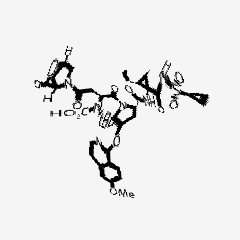 C=C[C@@H]1C[C@]1(NC(=O)[C@@H]1CC(Oc2nccc3cc(OC)ccc23)CN1C(=O)[C@H](CC(=O)N1C[C@@H]2C[C@H]1C(=O)O2)N(C(=O)O)C(C)(C)C)C(=O)NS(=O)(=O)C1CC1